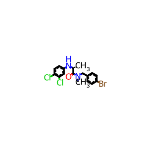 C[C@H](Nc1ccc(Cl)c(Cl)c1)C(=O)N(C)Cc1ccc(Br)cc1